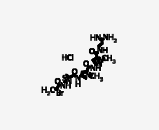 C=C(Br)C(=O)Nc1nc(C(=O)Nc2cc(C(=O)Nc3cc(C(=O)NCCC(=N)N)n(C)n3)n(C)c2)cs1.Cl